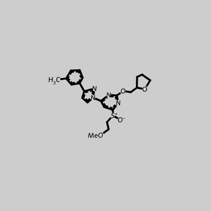 COCC[S+]([O-])c1cc(-n2ccc(-c3cccc(C)c3)n2)nc(OCC2CCCO2)n1